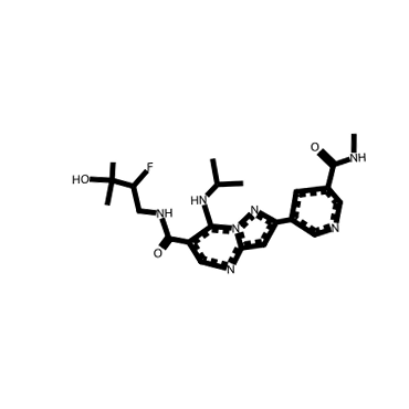 CNC(=O)c1cncc(-c2cc3ncc(C(=O)NCC(F)C(C)(C)O)c(NC(C)C)n3n2)c1